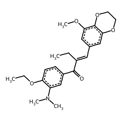 CCOc1ccc(C(=O)/C(=C/c2cc(OC)c3c(c2)OCCO3)CC)cc1N(C)C